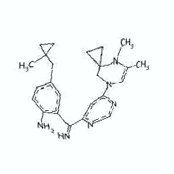 CC1=CN(c2cc(C(=N)c3cc(CC4(C)CC4)ccc3N)ncn2)CC2(CC2)N1C